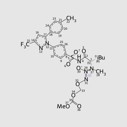 CC[C@@H](C)[C@@H](C(=O)NS(=O)(=O)c1ccc(-n2nc(C(F)(F)F)cc2-c2ccc(C)cc2)cc1)N(C)/[N+]([O-])=N/OCOC(=O)OC